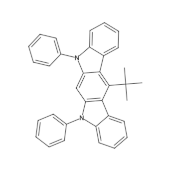 CC(C)(C)c1c2c3ccccc3n(-c3ccccc3)c2cc2c1c1ccccc1n2-c1ccccc1